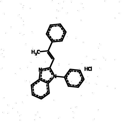 CC(=Cc1nc2ccccc2n1-c1ccccc1)c1ccccc1.Cl